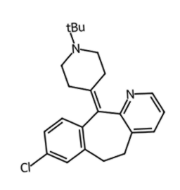 CC(C)(C)N1CCC(=C2c3ccc(Cl)cc3CCc3cccnc32)CC1